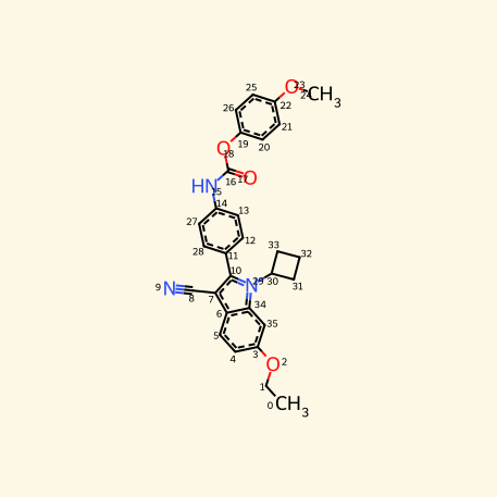 CCOc1ccc2c(C#N)c(-c3ccc(NC(=O)Oc4ccc(OC)cc4)cc3)n(C3CCC3)c2c1